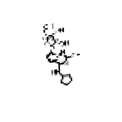 Cc1nc(NC2CCCC2)c2ccc([C@@H]3O[C@H](CO)[C@@H](O)[C@H]3O)n2n1